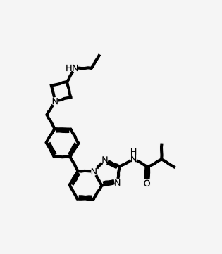 CCNC1CN(Cc2ccc(-c3cccc4nc(NC(=O)C(C)C)nn34)cc2)C1